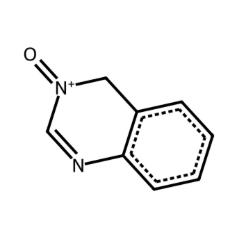 O=[N+]1C=Nc2ccccc2C1